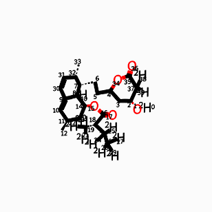 [2H]O[C@@H]1CC(CC[C@@H]2[C@@H]3C(=C[C@H](C)C[C@@H]3OC(=O)[C@@H](C([2H])([2H])[2H])C([2H])([2H])C([2H])([2H])[2H])C=C[C@@H]2C)OC(=O)C1([2H])[2H]